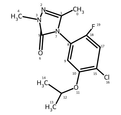 Cc1nn(C)c(=O)n1-c1cc(OC(C)C)c(Cl)cc1F